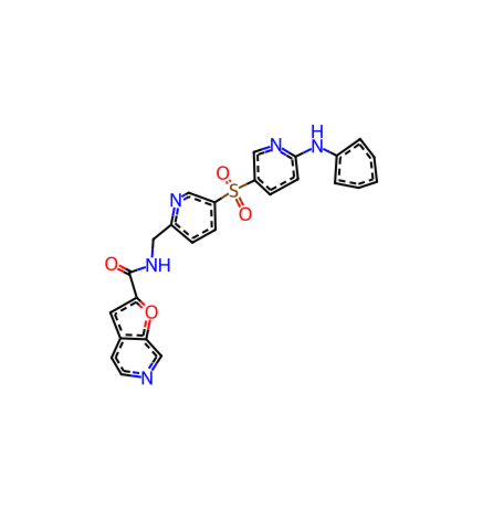 O=C(NCc1ccc(S(=O)(=O)c2ccc(Nc3ccccc3)nc2)cn1)c1cc2ccncc2o1